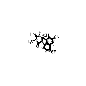 CN1C(=N)N[C@](C)(c2cccc(C#N)c2)[C@@H](c2ccc(C(F)(F)F)cc2)C1=O